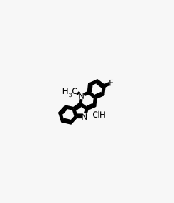 Cl.Cn1c2c3ccccc3nc-2cc2cc(F)ccc21